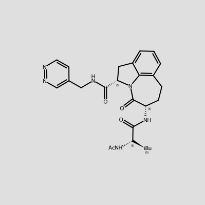 CC[C@H](C)[C@H](NC(C)=O)C(=O)N[C@H]1CCc2cccc3c2N(C1=O)[C@H](C(=O)NCc1ccnnc1)C3